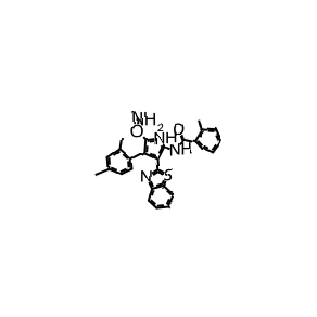 Cc1ccc(-c2c(ON)[nH]c(NC(=O)c3ccccc3C)c2-c2nc3ccccc3s2)c(C)c1